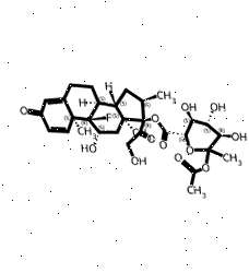 CC(=O)OC1(C)O[C@H](C(=O)O[C@]2(C(=O)CO)[C@H](C)C[C@H]3[C@@H]4CCC5=CC(=O)C=C[C@]5(C)[C@@]4(F)[C@@H](O)C[C@@]32C)[C@@H](O)[C@H](O)[C@H]1O